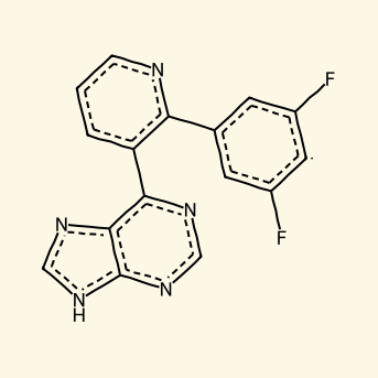 Fc1[c]c(F)cc(-c2ncccc2-c2ncnc3[nH]cnc23)c1